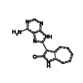 Nc1ncnc2[nH]c(-c3c4cccccc-4[nH]c3=O)nc12